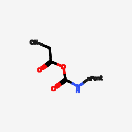 CCCCCNC(=O)OC(=O)CN=O